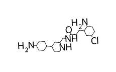 NC1CCC(C2CCNC(CNC(=O)CCC3CC(Cl)CCC3N)C2)CC1